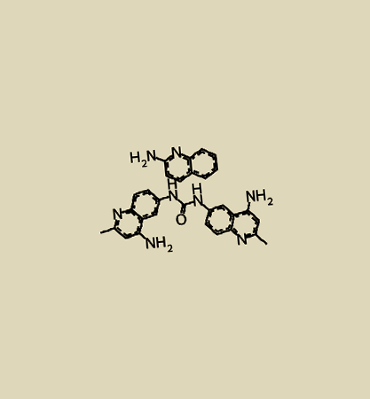 Cc1cc(N)c2cc(NC(=O)Nc3ccc4nc(C)cc(N)c4c3)ccc2n1.Nc1ccc2ccccc2n1